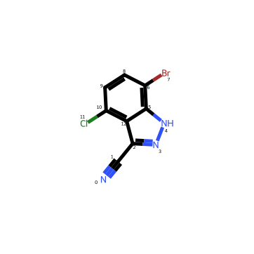 N#Cc1n[nH]c2c(Br)ccc(Cl)c12